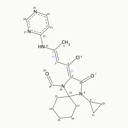 C/C(=C\C(Cl)=C1\C(=O)N(C2CC2)C2(CCCCC2)N1C=O)Nc1ccncn1